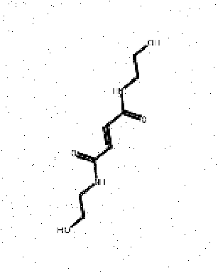 O=C(C=CC(=O)NCCO)NCCO